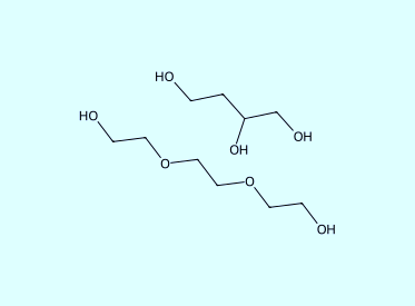 OCCC(O)CO.OCCOCCOCCO